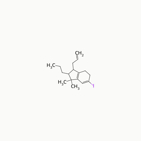 C=CCC1C2=C(C=C(I)CC2)C(C)(C)C1CCC